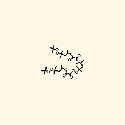 CC(CC(C)(C)OOC(C)(C)C)OC(=O)C(=O)OOC(C)(C)CC(C)OC(=O)C(=O)OC(C)CC(C)(C)OOC(C)(C)C